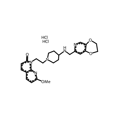 COc1ccc2ccc(=O)n(CCN3CCC(NCc4cc5c(cn4)OCCO5)CC3)c2n1.Cl.Cl